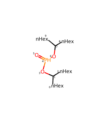 CCCCCCC(CCCCCC)O[PH](=O)OC(CCCCCC)CCCCCC